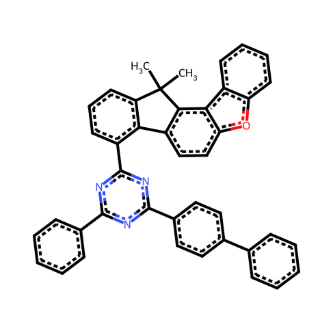 CC1(C)c2cccc(-c3nc(-c4ccccc4)nc(-c4ccc(-c5ccccc5)cc4)n3)c2-c2ccc3oc4ccccc4c3c21